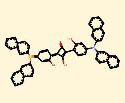 O=C1C(c2ccc(N(c3ccc4ccccc4c3)c3ccc4ccccc4c3)cc2O)=C(O)/C1=C1/C=CC(=[PH](c2ccc3ccccc3c2)c2ccc3ccccc3c2)C=C1O